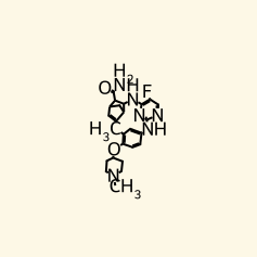 Cc1cc(Nc2ncc(F)c(NC3C4C=CC(C4)C3C(N)=O)n2)ccc1OC1CCN(C)CC1